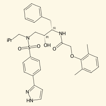 Cc1cccc(C)c1OCC(=O)N[C@@H](Cc1ccccc1)[C@H](O)CN(CC(C)C)S(=O)(=O)c1ccc(-c2cc[nH]n2)cc1